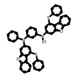 CCN(c1cccc(N(c2ccccc2)c2cc(Sc3ccccc3)c3c(c2)oc2ccccc23)c1)c1cc(Sc2ccccc2)c2c(c1)oc1ccccc12